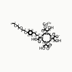 CCOCCOCCOc1ccc(CCC[C@@H](C(=O)O)N2CCN(C(CO)C(=O)[O-])CCN(C(CO)C(=O)[O-])CCN(C(CO)C(=O)[O-])CC2)cc1.[Gd+3]